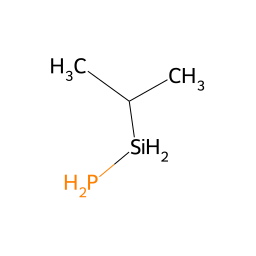 CC(C)[SiH2]P